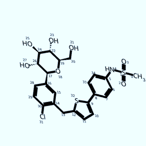 CS(=O)(=O)Nc1ccc(-c2ccc(Cc3cc([C@@H]4O[C@H](CO)[C@@H](O)[C@H](O)[C@H]4O)ccc3Cl)s2)cc1